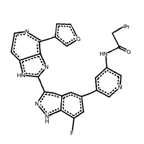 CC(C)CC(=O)Nc1cncc(-c2cc(F)c3[nH]nc(-c4nc5c(-c6ccoc6)nccc5[nH]4)c3c2)c1